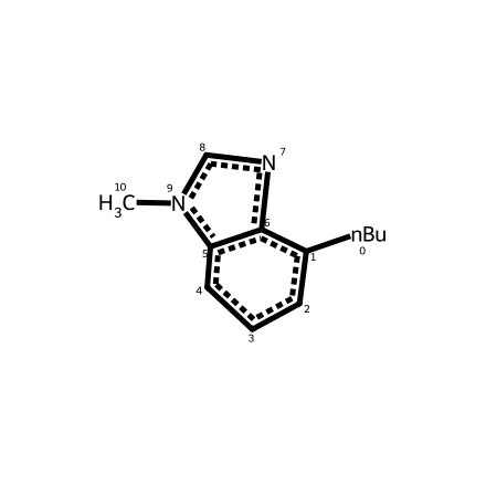 CCCCc1cccc2c1ncn2C